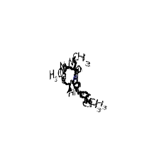 Cc1cc2cc(n1)-c1cnn(C)c1OCCCC(C1CC1)N1/C(=N/C2=O)Nc2ccc(N[C@@H]3CCC(N(C)C)C3)cc21